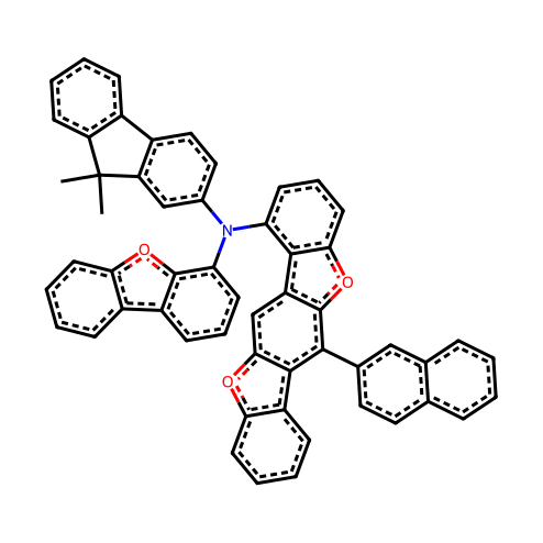 CC1(C)c2ccccc2-c2ccc(N(c3cccc4c3oc3ccccc34)c3cccc4oc5c(-c6ccc7ccccc7c6)c6c(cc5c34)oc3ccccc36)cc21